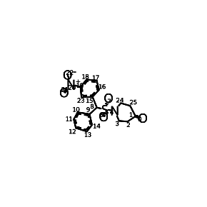 O=C1CCN(S(=O)(=O)C(c2ccccc2)c2cccc([N+](=O)[O-])c2)CC1